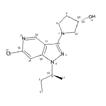 CC[C@H](C)n1nc(N2CC[C@H](O)C2)c2cnc(Cl)cc21